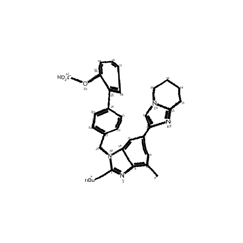 CCCCc1nc2c(C)cc(-c3cn4c(n3)CCCC4)cc2n1Cc1ccc(-c2ccccc2OC(=O)O)cc1